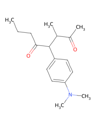 CCCC(=O)C(c1ccc(N(C)C)cc1)C(C)C(C)=O